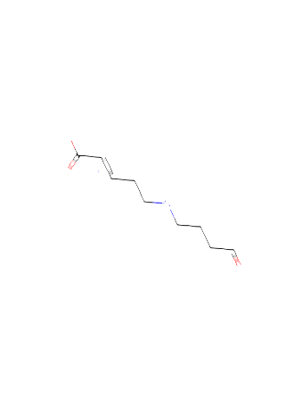 O=CCCCNCC/C=C/C(=O)O